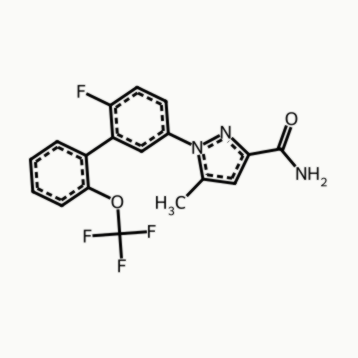 Cc1cc(C(N)=O)nn1-c1ccc(F)c(-c2ccccc2OC(F)(F)F)c1